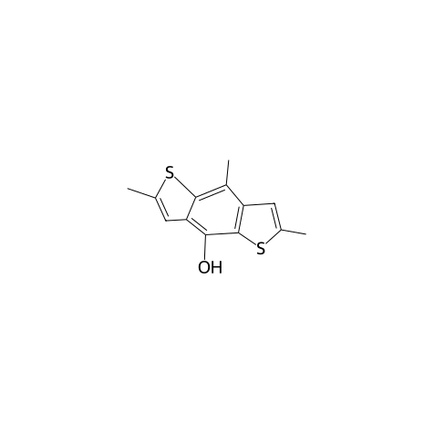 Cc1cc2c(O)c3sc(C)cc3c(C)c2s1